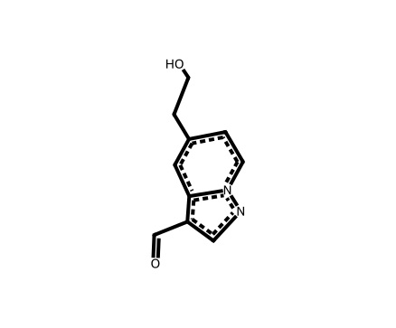 O=Cc1cnn2ccc(CCO)cc12